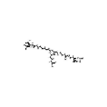 CCCCCC(CCCCC)CCOC(=O)CCCCCCCC(CCCCCCCC(=O)OC1C[C@H]2CC[C@]1(C)C2(C)C)OC(=O)CCCN(C)C